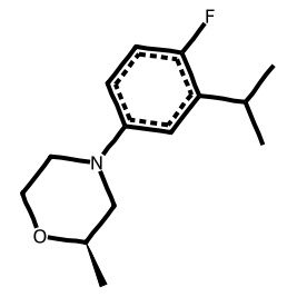 CC(C)c1cc(N2CCO[C@H](C)C2)ccc1F